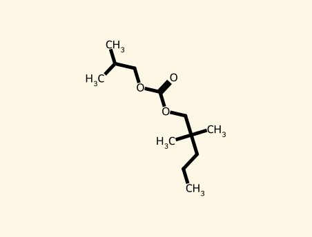 CCCC(C)(C)COC(=O)OCC(C)C